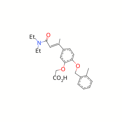 CCN(CC)C(=O)C=C(C)c1ccc(OCc2ccccc2C)c(OCC(=O)O)c1